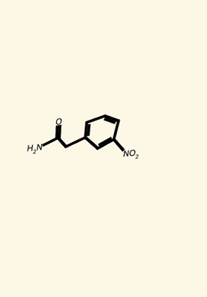 NC(=O)Cc1cccc([N+](=O)[O-])c1